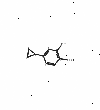 O=Cc1ccc(C2CC2)cc1F